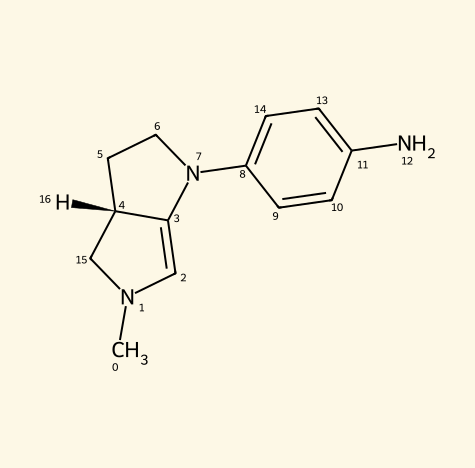 CN1C=C2[C@@H](CCN2c2ccc(N)cc2)C1